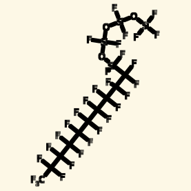 FC(F)(F)C(F)(F)C(F)(F)C(F)(F)C(F)(F)C(F)(F)C(F)(F)C(F)(F)C(F)(F)C(F)(F)[Si](F)(F)O[Si](F)(F)O[Si](F)(F)O[Si](F)(F)F